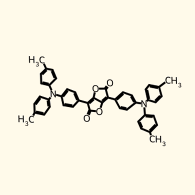 Cc1ccc(N(c2ccc(C)cc2)c2ccc(C3=C4OC(=O)C(c5ccc(N(c6ccc(C)cc6)c6ccc(C)cc6)cc5)=C4OC3=O)cc2)cc1